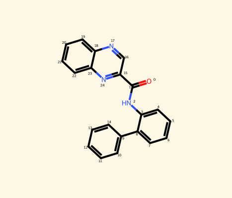 O=C(Nc1ccccc1-c1ccccc1)c1cnc2ccccc2n1